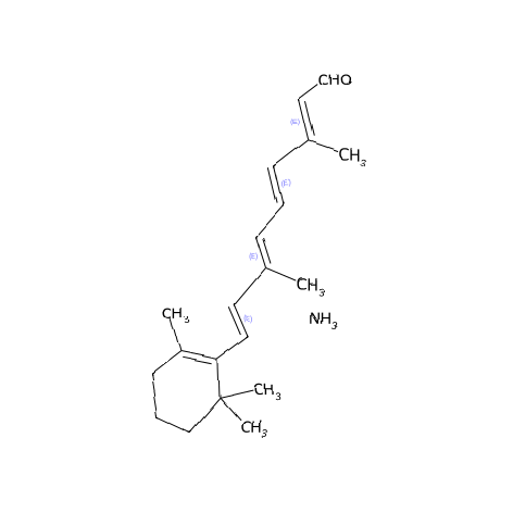 CC1=C(/C=C/C(C)=C/C=C/C(C)=C/C=O)C(C)(C)CCC1.N